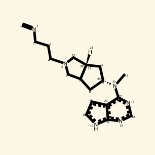 C=NCCCN1CC2C[C@@H](N(C)c3ncnc4[nH]ccc34)C[C@H]2C1